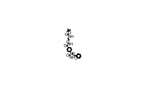 CC(C)(C)OC(=O)NCCONC(=O)[C@H]1CC[C@H](N(OCc2ccccc2)C(N)=O)CC1